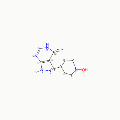 Cn1nc(C2CCN(O)CC2)c2c(=O)[nH]cnc21